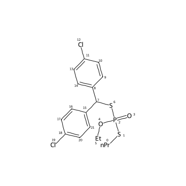 CCCSP(=O)(OCC)SC(c1ccc(Cl)cc1)c1ccc(Cl)cc1